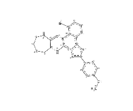 COc1ccc(-c2nc3c4cccc(Br)c4nc(N[C@@H]4COCCNC4=O)n3n2)cc1